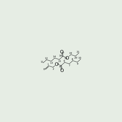 C=CCOC(=O)CCCCC.CCCCCC(=O)OCCC